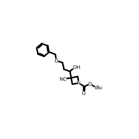 CC(C)(C)OC(=O)N1CC(C#N)(C(O)CCOCc2ccccc2)C1